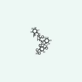 O=C(CN1C(=O)C2(COc3cc4c(cc32)OCO4)c2ccccc21)NCc1ccccc1F